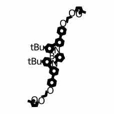 Cc1ccc(OCCCOc2ccc(-c3ccc4c(c3)c3cc(C(C)(C)C)cc5c3n4-c3cccc4c3B5c3cc(C(C)(C)C)cc5c6cc(-c7ccc(OCCCOc8ccc(C)o8)cc7)ccc6n-4c35)cc2)o1